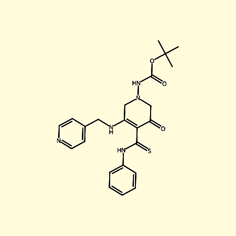 CC(C)(C)OC(=O)NN1CC(=O)C(C(=S)Nc2ccccc2)=C(NCc2ccncc2)C1